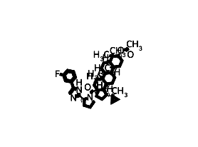 CC(=O)O[C@H]1CC[C@]2(C)[C@H]3CC[C@@H]4[C@H]5[C@H](C6(C)CC6)CC[C@]5(C(=O)N5CCC[C@H]5c5ncc(-c6cccc(F)c6)[nH]5)CC[C@@]4(C)[C@]3(C)CC[C@H]2C1(C)C